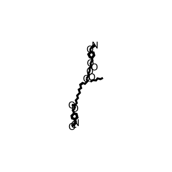 CCCCCC[C@H](C/C=C\CCCCCCCC(=O)OCc1ccc(N=C=O)cc1)OC(=O)COCC(=O)OCc1ccc(OC#N)cc1